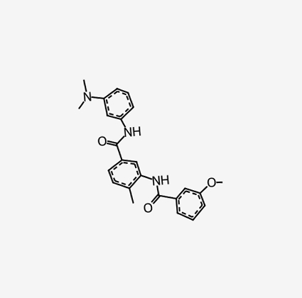 COc1cccc(C(=O)Nc2cc(C(=O)Nc3cccc(N(C)C)c3)ccc2C)c1